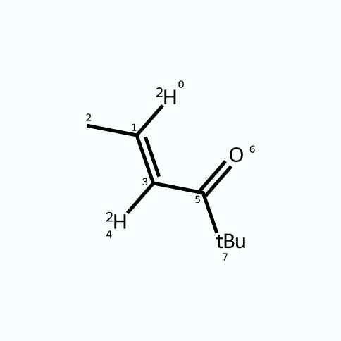 [2H]/C(C)=C(/[2H])C(=O)C(C)(C)C